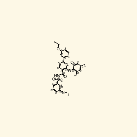 CCOc1cccc(-c2ccc(C(=O)NS(=O)(=O)c3cccc(N)n3)c(Oc3c(C)cc(C)cc3C)n2)n1